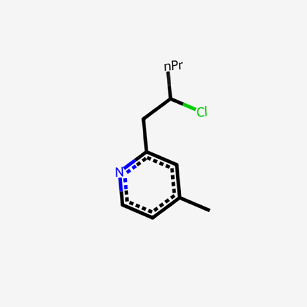 CCCC(Cl)Cc1cc(C)ccn1